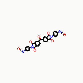 O=C=Nc1ccc(N2C(=O)c3ccc(C(=O)c4ccc5c(c4)C(=O)N(c4ccc(N=C=O)cc4)C5=O)cc3C2=O)cc1